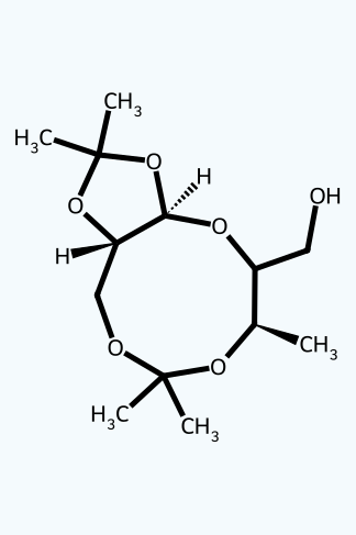 C[C@H]1OC(C)(C)OC[C@@H]2OC(C)(C)O[C@H]2OC1CO